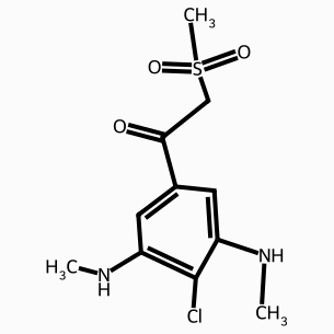 CNc1cc(C(=O)CS(C)(=O)=O)cc(NC)c1Cl